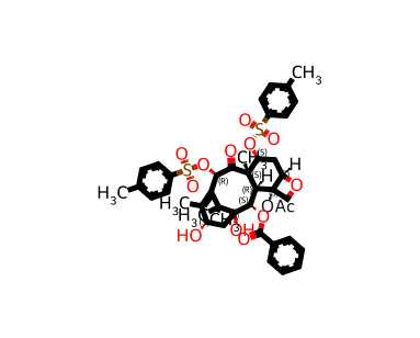 CC(=O)O[C@@]12CO[C@@H]1C[C@H](OS(=O)(=O)c1ccc(C)cc1)[C@@]1(C)C(=O)[C@H](OS(=O)(=O)c3ccc(C)cc3)C3=C(C)[C@@H](O)C[C@@](O)([C@@H](OC(=O)c4ccccc4)[C@H]21)C3(C)C